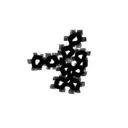 C1=CC(c2ccc(N(c3ccc(-c4ccccc4)cc3)c3ccc(C4(c5ccc6sc7ccccc7c6c5)c5ccccc5-c5ccccc54)cc3)cc2)=CCC1